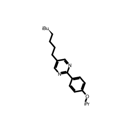 CC[C@H](C)CCCCc1cnc(-c2ccc(OC(C)C)cc2)nc1